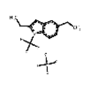 CCc1ccc2c(c1)cc(CC)[s+]2C(F)(F)F.F[B-](F)(F)F